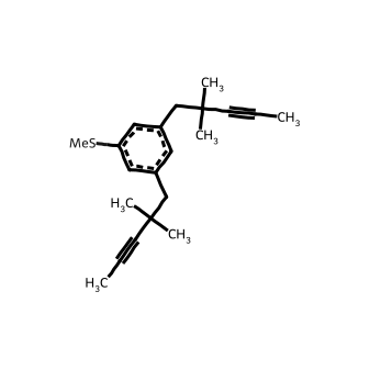 CC#CC(C)(C)Cc1cc(CC(C)(C)C#CC)cc(SC)c1